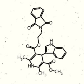 COC(=O)C1=C(C)NC(C)=C(C(=O)OCCN2C(=O)c3ccccc3C2=O)C1c1c[nH]c2ccccc12